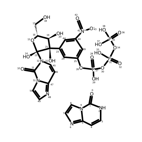 O=c1[nH]ccc2nccn12.O=c1n([C@]2(O)O[C@H](CO)[C@@H](O)[C@]2(O)c2cc(OP(=O)(O)OP(=O)(O)OP(=O)(O)O)cc([N+](=O)[O-])c2)ccc2nccn12